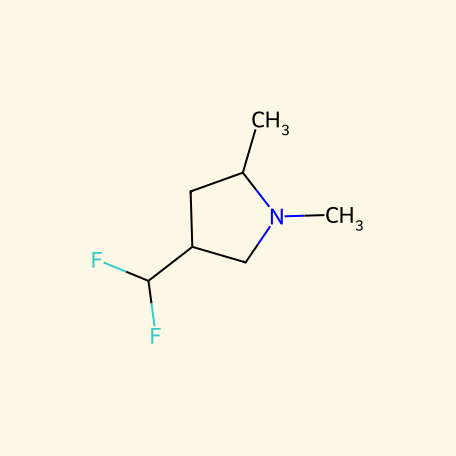 CC1CC(C(F)F)CN1C